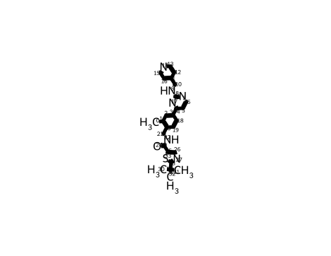 Cc1cc(-c2ccnc(NCc3ccncc3)n2)ccc1CNC(=O)c1cnc(C(C)(C)C)s1